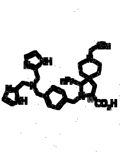 CCCC1N(Cc2ccc(CN(Cc3ncc[nH]3)Cc3ncc[nH]3)cc2)[C@H](C(=O)O)CC12CCN(CC(C)(C)C)CC2